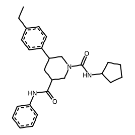 CCc1ccc(C2CC(C(=O)Nc3ccccc3)CN(C(=O)NC3CCCC3)C2)cc1